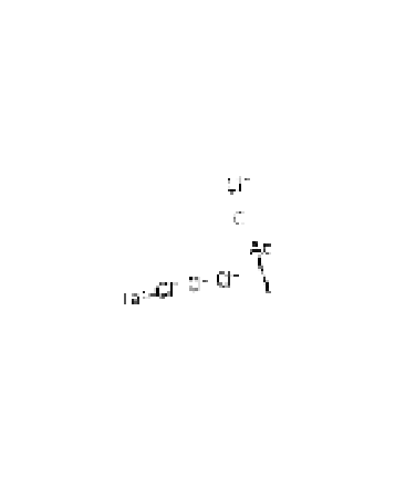 CC(C)=O.[Cl-].[Cl-].[Cl-].[Cl-].[Cl-].[Ta+5]